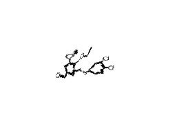 CCOc1c(CSc2ccc(Cl)c(Cl)c2)cc(C=O)cc1OC